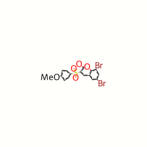 COc1ccc(S(=O)(=O)c2cc3cc(Br)cc(Br)c3oc2=O)cc1